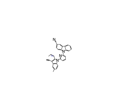 C#Cc1c(/C=C\C)n(-c2cccc(-n3c4ccccc4c4cc(C#N)ccc43)n2)c2ccc(C)cc12